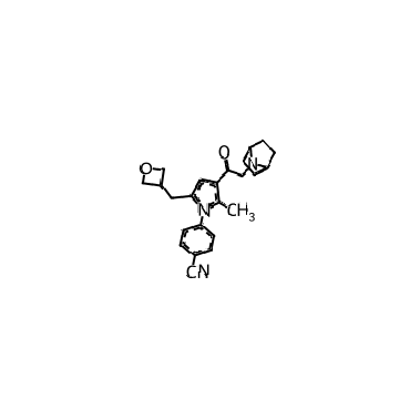 Cc1c(C(=O)CN2C3CCC2CC3)cc(CC2COC2)n1-c1ccc(C#N)cc1